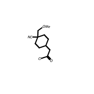 COCC1(C#N)CCC(CC(=O)Cl)CC1